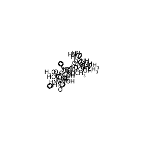 CO[C@@H]1C(OC(C(C(=O)O)N(CCCNC(=O)C(NC(=O)C(NC(=O)NC(C(=O)O)C(C)C)C2CCNC(=N)N2)C(O)C(C)C)Cc2ccccc2)[C@H]2O[C@@H](n3ccc(=O)[nH]c3=O)[C@H](O)[C@H]2O)O[C@H](CNCc2ccccc2)[C@@H]1O